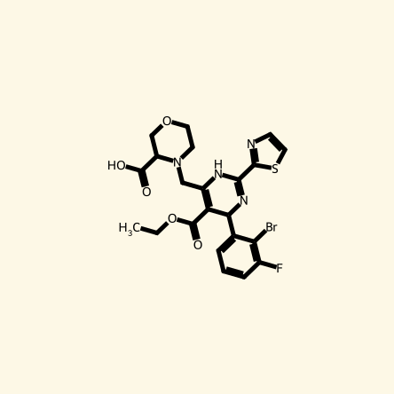 CCOC(=O)C1=C(CN2CCOCC2C(=O)O)NC(c2nccs2)=NC1c1cccc(F)c1Br